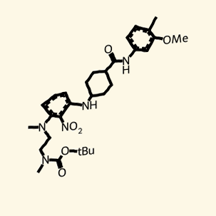 COc1cc(NC(=O)C2CCC(Nc3cccc(N(C)CCN(C)C(=O)OC(C)(C)C)c3[N+](=O)[O-])CC2)ccc1C